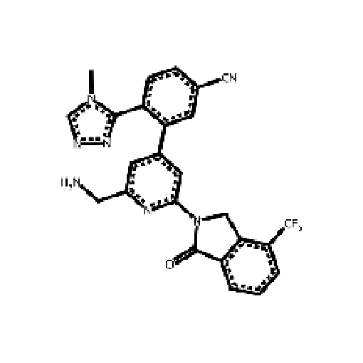 Cn1cnnc1-c1ccc(C#N)cc1-c1cc(CN)nc(N2Cc3c(cccc3C(F)(F)F)C2=O)c1